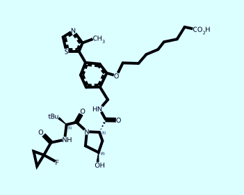 Cc1ncsc1-c1ccc(CNC(=O)[C@@H]2C[C@@H](O)CN2C(=O)[C@@H](NC(=O)C2(F)CC2)C(C)(C)C)c(OCCCCCCCC(=O)O)c1